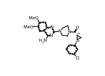 COc1cc2nc(N3CCN(C(=O)[C@@H]4C[C@H]4c4cccc(Cl)c4)CC3)nc(N)c2cc1OC